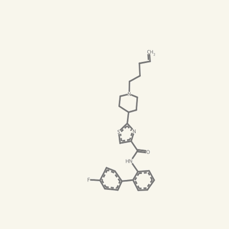 C=CCCCN1CCC(c2nc(C(=O)Nc3ccccc3-c3ccc(F)cc3)cs2)CC1